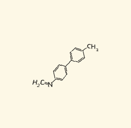 C=Nc1ccc(-c2ccc(C)cc2)cc1